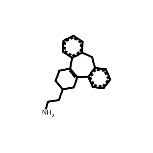 NCCC1CCC2=C(C1)c1ccccc1Cc1ccccc12